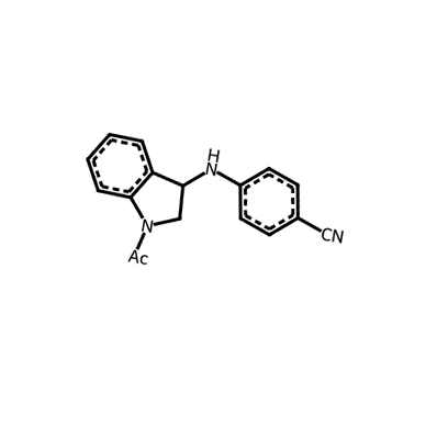 CC(=O)N1CC(Nc2ccc(C#N)cc2)c2ccccc21